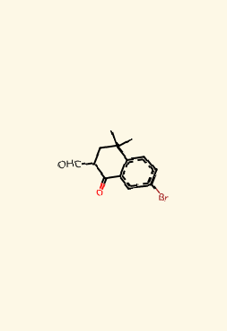 CC1(C)CC(C=O)C(=O)c2cc(Br)ccc21